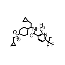 Cc1nc(C(F)(F)F)ccc1C(=O)NC(CC1CC1)C1CCC(S(=O)(=O)CC2CC2)CC1